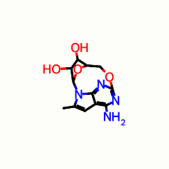 Cc1cc2c(N)nc3nc2n1C1OC(CO3)C(O)C1O